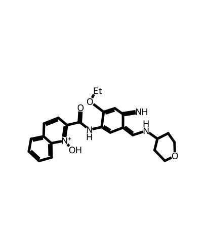 CCOC1=CC(=N)/C(=C\NC2CCOCC2)C=C1NC(=O)c1ccc2ccccc2[n+]1O